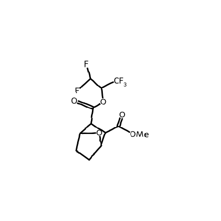 COC(=O)C1C2CCC(O2)C1C(=O)OC(C(F)F)C(F)(F)F